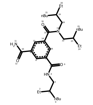 CCCCC(CC)CNC(=O)c1cc(C(N)=O)cc(C(=O)N(CC(CC)CCCC)CC(CC)CCCC)c1